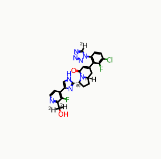 [2H]c1nnnn1-c1ccc(Cl)c(F)c1C1=CC(=O)N2[C@@H](CC[C@@H]2c2nc(-c3ccnc(C([2H])([2H])O)c3F)c[nH]2)C1